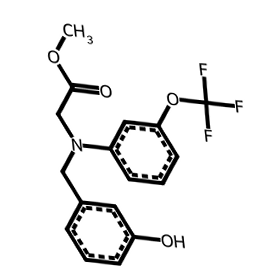 COC(=O)CN(Cc1cccc(O)c1)c1cccc(OC(F)(F)F)c1